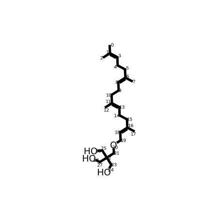 CC(C)=CCCC(C)=CCCC(C)=CCCC(C)=CCOCC(CO)(CO)CO